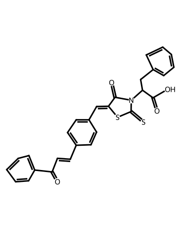 O=C(/C=C/c1ccc(/C=C2\SC(=S)N(C(Cc3ccccc3)C(=O)O)C2=O)cc1)c1ccccc1